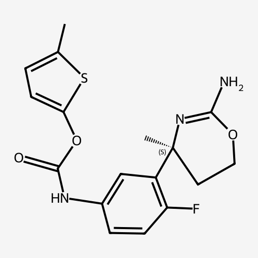 Cc1ccc(OC(=O)Nc2ccc(F)c([C@]3(C)CCOC(N)=N3)c2)s1